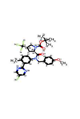 COc1ccc(CN(C(=O)[C@H]2C[C@@H](C(F)(F)F)CN2C(=O)OC(C)(C)C)c2ccc(C)c(-c3ncc(F)cn3)c2)cc1